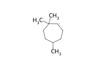 CC1CC[CH]C(C)(C)CC1